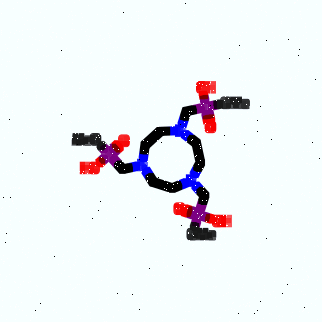 COP(=O)(O)CN1CCN(CP(=O)(O)OC)CCN(CP(=O)(O)OC)CC1